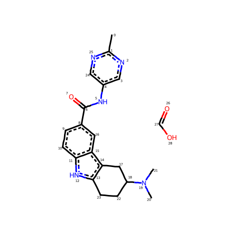 Cc1ncc(NC(=O)c2ccc3[nH]c4c(c3c2)CC(N(C)C)CC4)cn1.O=CO